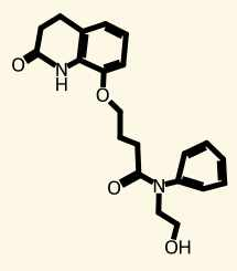 O=C1CCc2cccc(OCCCC(=O)N(CCO)c3ccccc3)c2N1